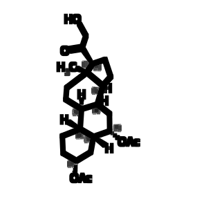 CC(=O)O[C@@H]1CC[C@@H]2[C@H]3CC[C@]4(C)[C@@H](C(=O)CO)CC[C@H]4[C@@H]3C[C@H](OC(C)=O)[C@@H]2C1